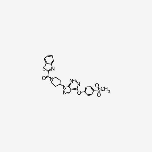 CS(=O)(=O)c1ccc(Oc2ncnc3c2cnn3C2CCN(C(=O)c3nc4ccccc4s3)CC2)cc1